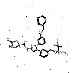 C[C@@H](OCc1cccc(-c2cc(NC(=O)[C@@H]3CNC(=O)C3)nn2-c2cccc(OCc3ccccc3)c2)c1)C(F)(F)F